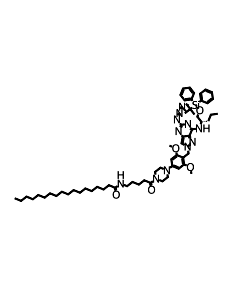 CCCCCCCCCCCCCCCCCC(=O)NCCCCC(=O)N1CCN(c2cc(OC)c(Cn3cc4nc(N=[N+]=[N-])nc(N[C@@H](CCC)CO[Si](c5ccccc5)(c5ccccc5)C(C)(C)C)c4n3)c(OC)c2)CC1